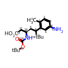 Cc1ccc(N)cc1C(C[C@H](CC(=O)O)NC(=O)OC(C)(C)C)C(C)(C)C